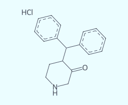 Cl.O=C1CNCCC1C(c1ccccc1)c1ccccc1